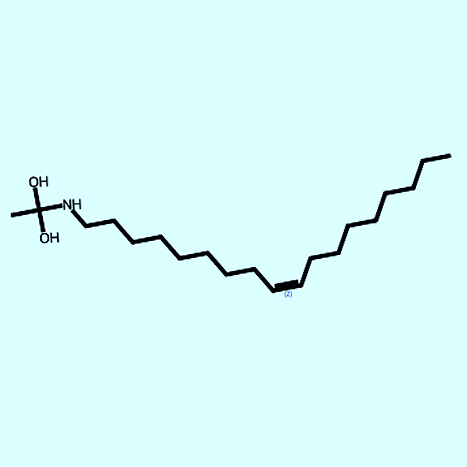 CCCCCCCC/C=C\CCCCCCCCNC(C)(O)O